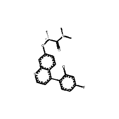 C[C@@H](Oc1ccc2c(-c3ccc(F)cc3Cl)ccnc2c1)C(=O)N(C)C